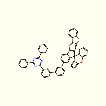 c1ccc(-c2nc(-c3ccccc3)nc(-c3cccc(-c4cccc(-c5ccc6c(c5)C5(c7ccccc7Oc7ccccc75)c5cc7sc8ccccc8c7cc5-6)c4)c3)n2)cc1